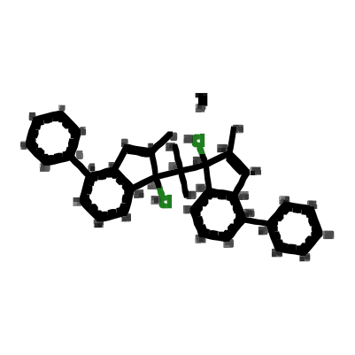 CC1=Cc2c(-c3ccccc3)cccc2C1(Cl)C(C)(C)C1(Cl)C(C)=Cc2c(-c3ccccc3)cccc21.[Ti]